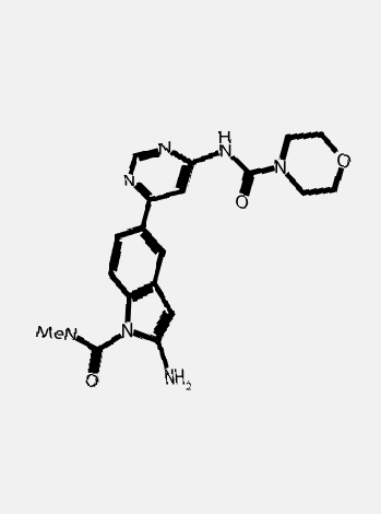 CNC(=O)n1c(N)cc2cc(-c3cc(NC(=O)N4CCOCC4)ncn3)ccc21